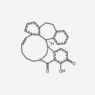 O=C1c2c(O)c(=O)ccn2N2CN1CCC/C=C\c1cccc3c1[C@H]2c1ccccc1CC3